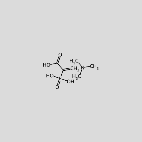 C=C(C(=O)O)P(=O)(O)O.CN(C)C